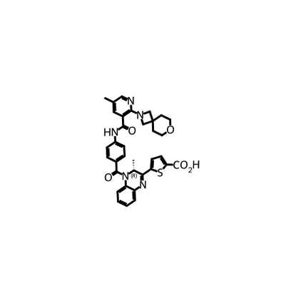 Cc1cnc(N2CC3(CCOCC3)C2)c(C(=O)Nc2ccc(C(=O)N3c4ccccc4N=C(c4ccc(C(=O)O)s4)[C@H]3C)cc2)c1